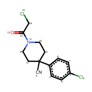 N#CC1(c2ccc(Cl)cc2)CCN(C(=O)CCl)CC1